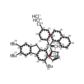 Cl.Cl.[CH2]=[Zr]([C]1=CC=CC1)([c]1ccc(Cl)cc1)([c]1c2c(cc(C(C)(C)C)c1C(C)(C)C)-c1cc(C(C)(C)C)c(C(C)(C)C)cc1C2)[c]1cccc2ccccc12